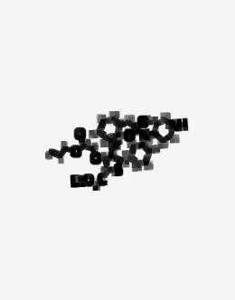 C=CCOC(=O)COc1c(C(=O)OCC)sc(-c2cccc(N(C3CCNCC3)S(=O)(=O)Cc3ccccc3)c2)c1Br